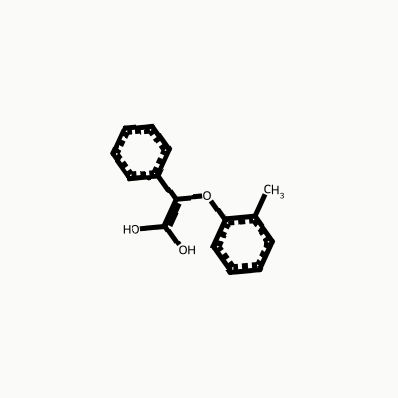 Cc1ccccc1OC(=C(O)O)c1ccccc1